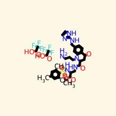 COC(=O)C(CNC(=O)C1CC(=O)c2ccc(CNc3ncc[nH]3)cc2N1CCCN)NS(=O)(=O)c1c(C)cc(C)cc1C.O=C(O)C(F)(F)F.O=C(O)C(F)(F)F